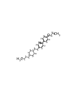 CCCCC1CCC(CCc2ccc(-c3ccc(OCCC)cc3)nc2)CC1